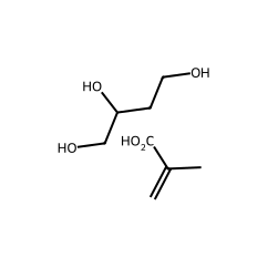 C=C(C)C(=O)O.OCCC(O)CO